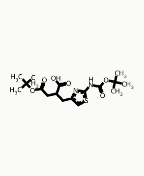 CC(C)(C)OC(=O)CC(Cc1csc(NC(=O)OC(C)(C)C)n1)C(=O)O